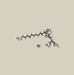 CCCCCCCCCCCC[N+](C)(C)CCCN(CC)CC.[Br-]